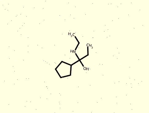 CCNC(O)(CC)C1CCCC1